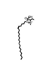 CCCCCCCCCCCCCCCC/C=C\CCCCOP(=O)(O)C(CC)[N+](C)(C)C